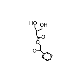 O=C(CC(CO)CO)OCC(=O)c1ccccc1